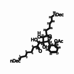 CCCCCCCCCCCCCCCC(=O)C(O)C(O)(C(=O)c1ccccc1OC(C)=O)C(O)C(=O)CCCCCCCCCCCCCCC